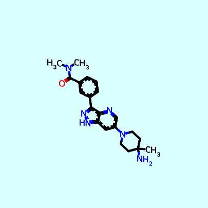 CN(C)C(=O)c1cccc(-c2n[nH]c3cc(N4CCC(C)(N)CC4)cnc23)c1